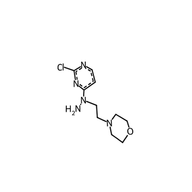 NN(CCN1CCOCC1)c1ccnc(Cl)n1